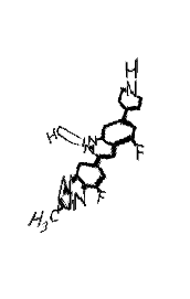 Cl.Cn1nc2cc(-c3cc4c(F)cc(C5=CCNCC5)cc4nn3)cc(F)c2n1